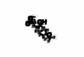 CC(C)(C)Oc1ccc(C[C@@H](CO)CC[N+](=O)[O-])cc1